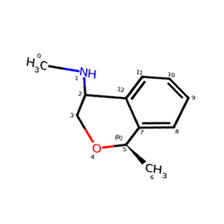 CNC1CO[C@H](C)c2ccccc21